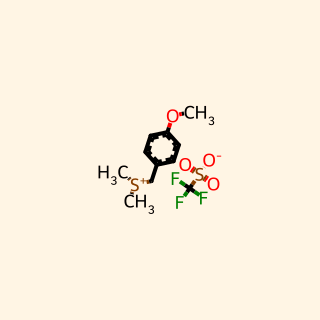 COc1ccc(C[S+](C)C)cc1.O=S(=O)([O-])C(F)(F)F